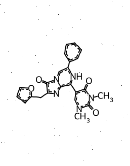 Cn1cc(-c2[nH]c(-c3ccccc3)cn3c(=O)c(Cc4ccco4)nc2-3)c(=O)n(C)c1=O